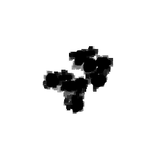 O=C(c1cccc(F)c1F)N(C(=O)c1cccc(F)c1F)c1ccc(-n2c(C(F)(F)F)nc3cc(Cl)ccc32)cc1.O=C(c1cccc(F)c1F)N(C(=O)c1cccc(F)c1F)c1ccc(-n2c(C(F)(F)F)nc3ccc(Cl)cc32)cc1